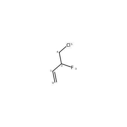 C=CC(F)CCl